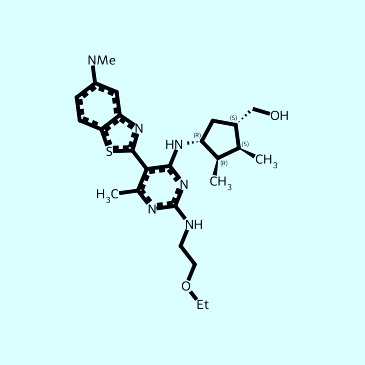 CCOCCNc1nc(C)c(-c2nc3cc(NC)ccc3s2)c(N[C@@H]2C[C@H](CO)[C@@H](C)[C@H]2C)n1